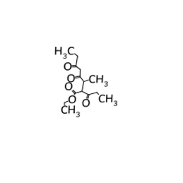 CCOC(=O)C(C(=O)CC)C(C)C(=O)CC(=O)CC